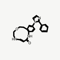 O=C1/C=C/NCCOCCc2cc(-n3ccnc3-c3ccccc3)ccc2N1